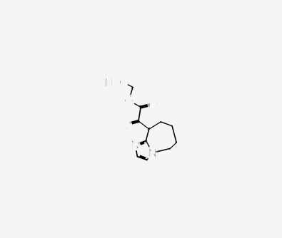 CCOC(=O)C(=O)C1CCCCn2ccnc21